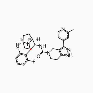 Cc1cc(-c2n[nH]c3c2CN(C(=O)NC2CC[C@H]4CC[C@@H]2N4Cc2c(F)cccc2F)CC3)ccn1